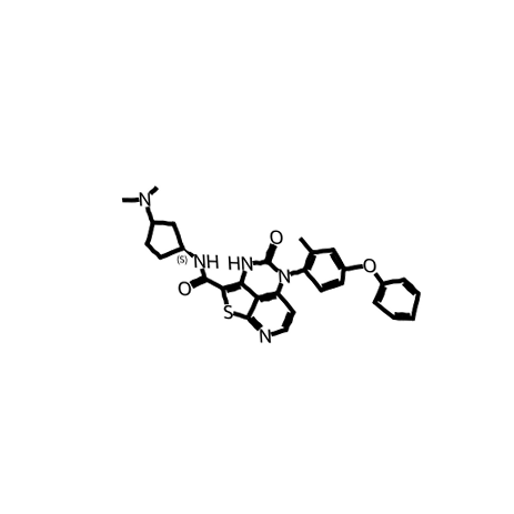 Cc1cc(Oc2ccccc2)ccc1N1C(=O)Nc2c(C(=O)N[C@H]3CCC(N(C)C)C3)sc3nccc1c23